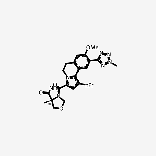 CCCc1cc(C(=O)N2COC[C@]2(C)C(N)=O)n2c1-c1cc(-c3nnn(C)n3)c(OC)cc1CC2